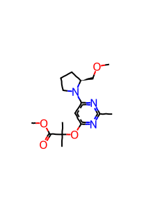 COC[C@@H]1CCCN1c1cc(OC(C)(C)C(=O)OC)nc(C)n1